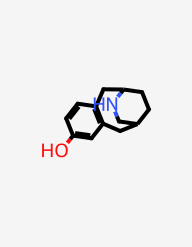 Oc1ccc2c(c1)CC1CCC(C2)NC1